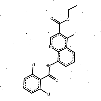 CCOC(=O)c1cnc2c(NC(=O)c3c(Cl)cccc3Cl)cccc2c1Cl